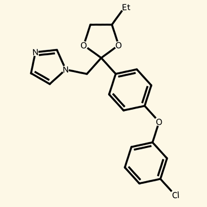 CCC1COC(Cn2ccnc2)(c2ccc(Oc3cccc(Cl)c3)cc2)O1